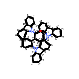 c1ccc(-n2c3ccccc3c3ccccc32)c(-c2ccccc2-n2c3ccccc3c3ccc(-n4c5ccccc5c5ccccc54)cc32)c1